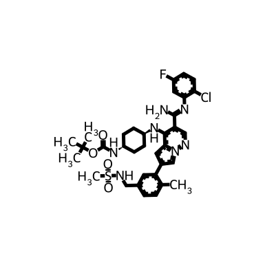 Cc1ccc(CNS(C)(=O)=O)cc1-c1cc2c(N[C@H]3CC[C@H](NC(=O)OC(C)(C)C)CC3)c(C(N)=Nc3cc(F)ccc3Cl)cnn2c1